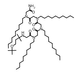 CCCCCCCCCCN(CC(N)=O)C(=O)CN(CCCCCCCCCC)C(=O)CN(CCCCCCCCCC)C(=O)CN(CCCCCCCCCC)C(=O)CNC(C)(C)CCOC(C)(C)C